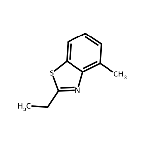 C[CH]c1nc2c(C)cccc2s1